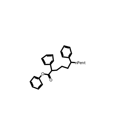 CCCCCC(CCCC(C(=O)Oc1ccccc1)c1ccccc1)c1ccccc1